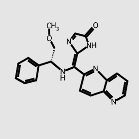 COC[C@H](NC(=C1N=CC(=O)N1)c1ccc2ncccc2n1)c1ccccc1